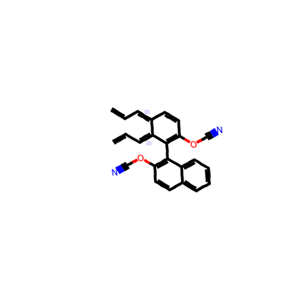 C=C/C=c1/ccc(OC#N)c(-c2c(OC#N)ccc3ccccc23)/c1=C/C=C